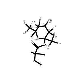 CCC(C)(C)C(=O)OC1(C(F)(F)F)OC(C)(C(F)(F)F)C(F)(F)C(O)C1(F)F